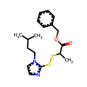 CC(C)CCn1ccnc1SSC(C)C(=O)OCc1ccccc1